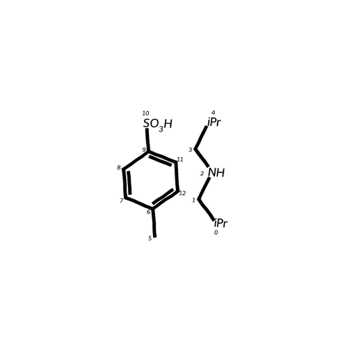 CC(C)CNCC(C)C.Cc1ccc(S(=O)(=O)O)cc1